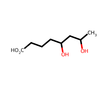 CC(O)CC(O)CCCC(=O)O